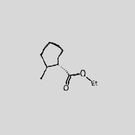 CCOC(=O)[C@H]1CCCC1C